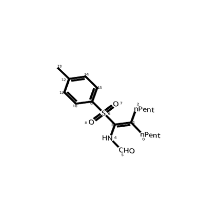 CCCCCC(CCCCC)=C(NC=O)S(=O)(=O)c1ccc(C)cc1